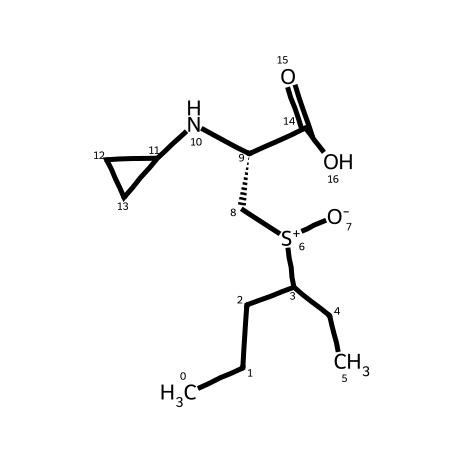 CCCC(CC)[S+]([O-])C[C@H](NC1CC1)C(=O)O